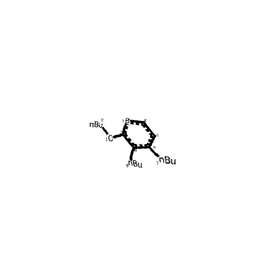 CCCCOc1bccc(CCCC)c1CCCC